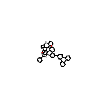 c1ccc(-c2nc(-c3ccc(-c4ccc5c6ccccc6c6ccccc6c5c4)cc3)nc(-c3cccc4c3C3(c5ccccc5S4)c4ccccc4-c4ccccc43)n2)cc1